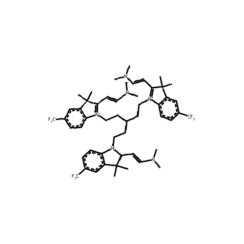 CN(C)/C=C/C1=[N+](CCC(CCN2c3ccc(C(F)(F)F)cc3C(C)(C)C2/C=C/N(C)C)CC[N+]2=C(/C=C/N(C)C)C(C)(C)c3cc(C(F)(F)F)ccc32)c2ccc(C(F)(F)F)cc2C1(C)C